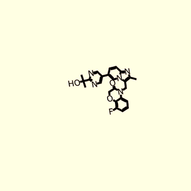 Cc1nc2ccc(-c3cnc(C(C)(C)O)nc3)cn2c1CN1C(=O)COc2c(F)cccc21